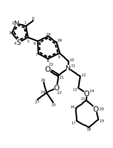 Cc1ncsc1-c1ccc(CN(CCOC2CCCCO2)C(=O)OC(C)(C)C)cc1